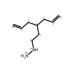 C=CCC(CC=C)CCNN